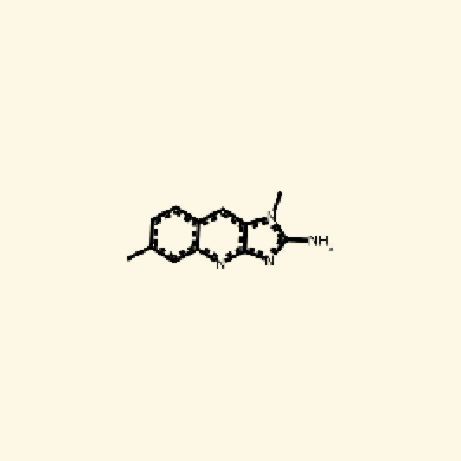 Cc1ccc2cc3c(nc(N)n3C)nc2c1